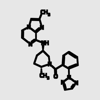 Cc1cn2ccnc(N[C@@H]3CC[C@@H](C)N(C(=O)c4ccccc4-n4nccn4)C3)c2n1